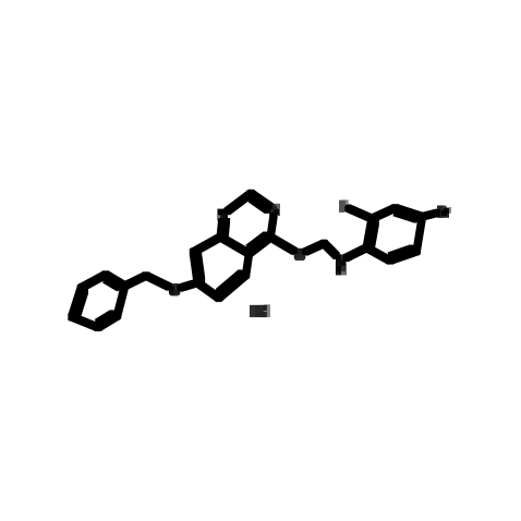 Cl.Fc1cc(Br)ccc1NCOc1ncnc2cc(OCc3ccccc3)ccc12